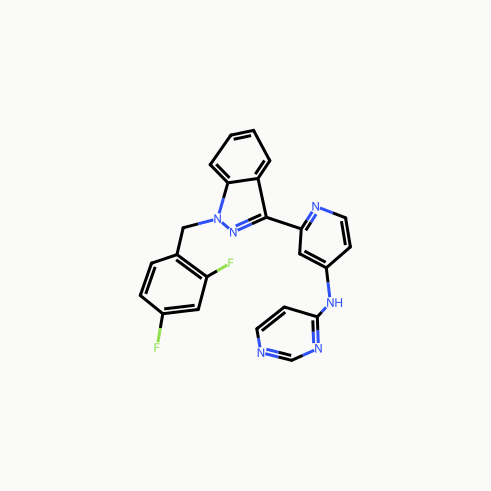 Fc1ccc(Cn2nc(-c3cc(Nc4ccncn4)ccn3)c3ccccc32)c(F)c1